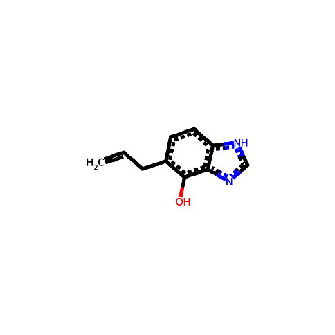 C=CCc1ccc2[nH]cnc2c1O